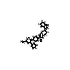 N#Cc1cnc(-c2ccc(S(=O)(=O)CN3CCC(n4cnc5ccccc54)CC3)cc2)c(-c2ccccc2)c1